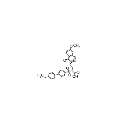 CCc1ccc(-c2ccc(S(=O)(=O)C(CCn3nnc4cc(OC)ccc4c3=O)C(=O)O)cc2)cc1